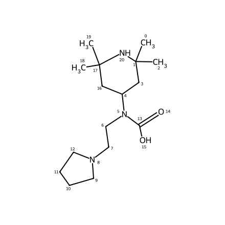 CC1(C)CC(N(CCN2CCCC2)C(=O)O)CC(C)(C)N1